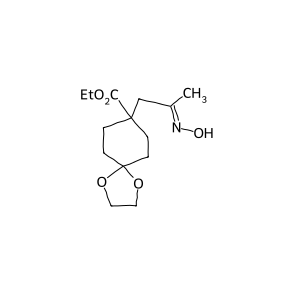 CCOC(=O)C1(CC(C)=NO)CCC2(CC1)OCCO2